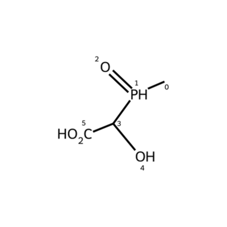 C[PH](=O)C(O)C(=O)O